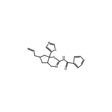 C=CCN1CC2CN=C(NC(=O)c3ccccc3)SC2(c2cncs2)C1